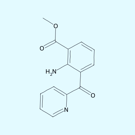 COC(=O)c1cccc(C(=O)c2ccccn2)c1N